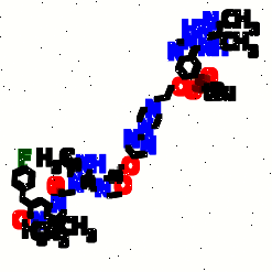 Cc1n[nH]c(Nc2ncnc3cc(OCCCN4CCN(c5ncc(OC[C@H]6CN(C[C@H]7CN[C@H](C)CN7CC(=O)N7CC(C)(C)c8c7cc(Cc7ccc(F)cc7)c(=O)n8C)CCO6)cn5)CC4)c(S(=O)(=O)C(C)(C)C)cc23)c1C